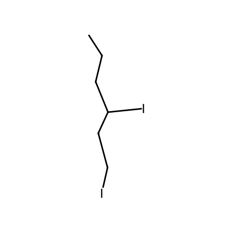 CCCC(I)CCI